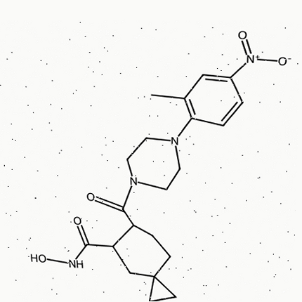 Cc1cc([N+](=O)[O-])ccc1N1CCN(C(=O)C2CCC3(CC3)CC2C(=O)NO)CC1